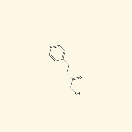 O=C(CO)CCc1ccncc1